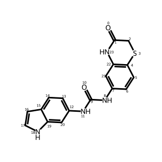 O=C1CSc2ccc(NC(=O)Nc3ccc4cc[nH]c4c3)cc2N1